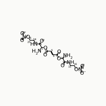 NC(OC(=O)/C=C/C(=O)OC(N)C(=O)NCCO[N+](=O)[O-])C(=O)NCCO[N+](=O)[O-]